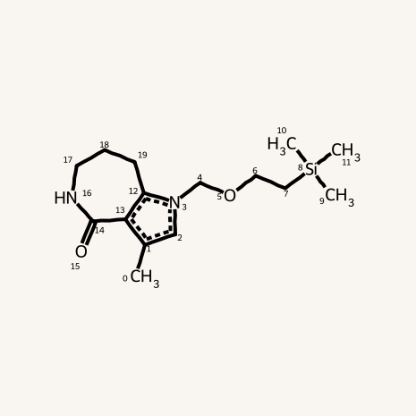 Cc1cn(COCC[Si](C)(C)C)c2c1C(=O)NCCC2